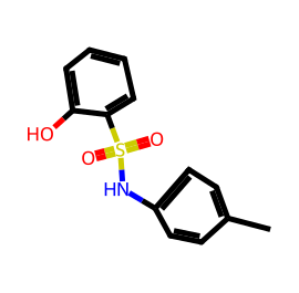 Cc1ccc(NS(=O)(=O)c2ccccc2O)cc1